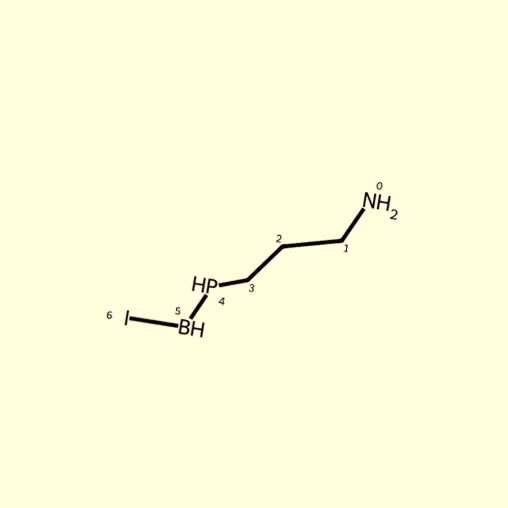 NCCCPBI